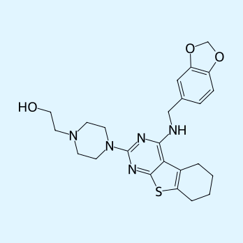 OCCN1CCN(c2nc(NCc3ccc4c(c3)OCO4)c3c4c(sc3n2)CCCC4)CC1